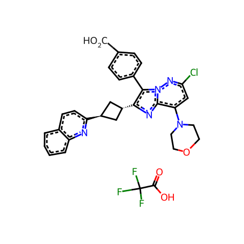 O=C(O)C(F)(F)F.O=C(O)c1ccc(-c2c([C@H]3C[C@H](c4ccc5ccccc5n4)C3)nc3c(N4CCOCC4)cc(Cl)nn23)cc1